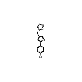 Oc1ccc(-c2nc(Cn3ccnn3)co2)cc1